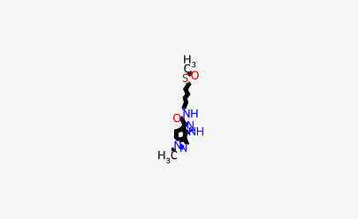 CCn1ncc2c1CCc1c(C(=O)NCCCCCCSC(C)=O)n[nH]c1-2